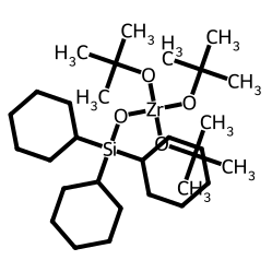 CC(C)(C)[O][Zr]([O]C(C)(C)C)([O]C(C)(C)C)[O][Si](C1CCCCC1)(C1CCCCC1)C1CCCCC1